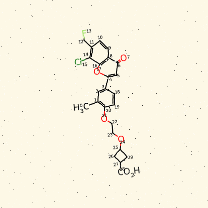 Cc1cc(-c2cc(=O)c3ccc(CF)c(Cl)c3o2)ccc1OCCOC1CC(C(=O)O)C1